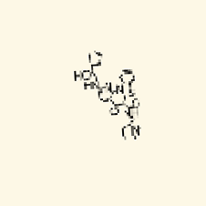 CN1CCCCC1CNC(=O)c1c(=O)c2ccc(NCC(O)c3ccccc3)nc2n2c1sc1ccccc12